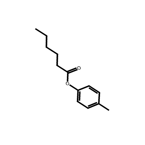 CCCCCC(=O)Oc1ccc(C)cc1